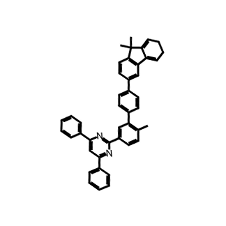 Cc1ccc(-c2nc(-c3ccccc3)cc(-c3ccccc3)n2)cc1-c1ccc(-c2ccc3c(c2)C2=CCCC=C2C3(C)C)cc1